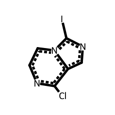 Clc1nccn2c(I)ncc12